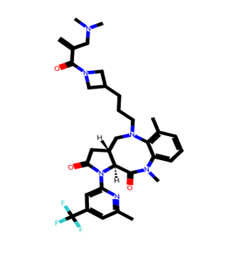 C=C(CN(C)C)C(=O)N1CC(CCCN2C[C@H]3CC(=O)N(c4cc(C(F)(F)F)cc(C)n4)[C@@H]3C(=O)N(C)c3cccc(C)c32)C1